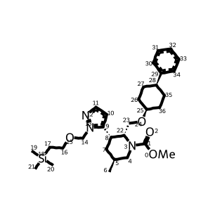 COC(=O)N1C[C@@H](C)C[C@H](c2ccnn2COCC[Si](C)(C)C)[C@@H]1CO[C@H]1CC[C@@H](c2ccccc2)CC1